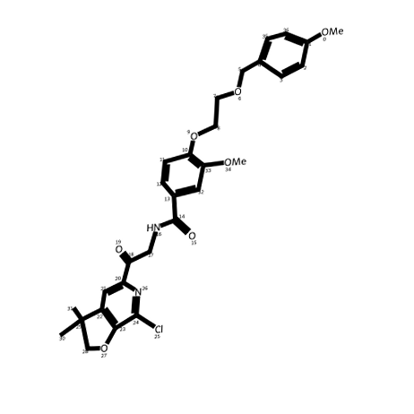 COc1ccc(COCCOc2ccc(C(=O)NCC(=O)c3cc4c(c(Cl)n3)OCC4(C)C)cc2OC)cc1